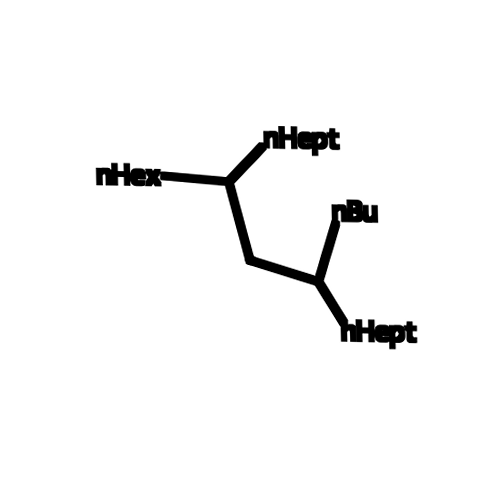 CCCCCCCC(CCCC)CC(CCCCCC)CCCCCCC